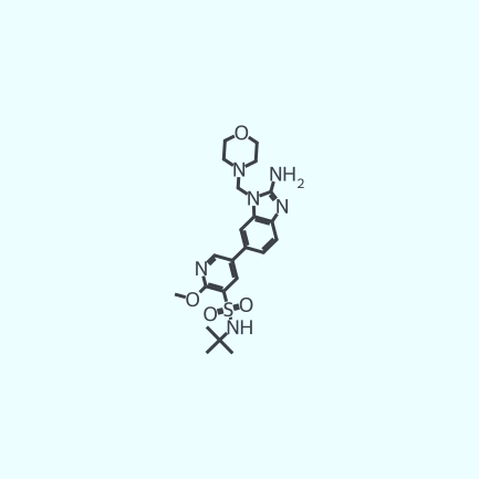 COc1ncc(-c2ccc3nc(N)n(CN4CCOCC4)c3c2)cc1S(=O)(=O)NC(C)(C)C